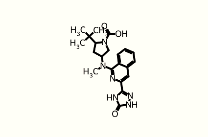 CN(c1nc(-c2n[nH]c(=O)[nH]2)cc2ccccc12)C1CC(C(C)(C)C)N(C(=O)O)C1